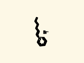 CCCCC=C[n+]1ccccc1.[Br-]